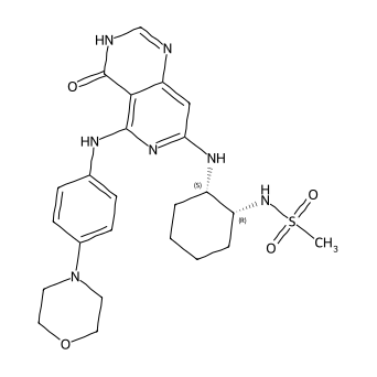 CS(=O)(=O)N[C@@H]1CCCC[C@@H]1Nc1cc2nc[nH]c(=O)c2c(Nc2ccc(N3CCOCC3)cc2)n1